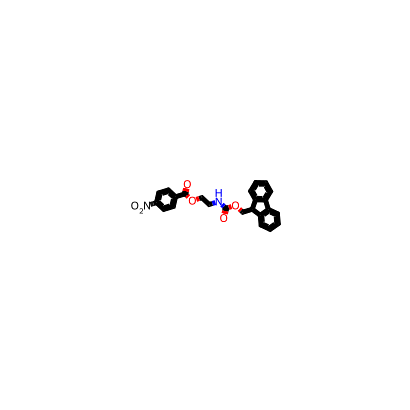 O=C(NCCOC(=O)c1ccc([N+](=O)[O-])cc1)OCC1c2ccccc2-c2ccccc21